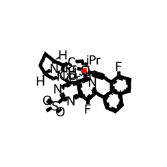 CC(C)[Si](C#Cc1c(F)ccc2cccc(-c3nc4c5c(nc(S(C)(=O)=O)nc5c3F)N3C[C@H]5CC[C@@H]([C@H]3CCO4)N5C(=O)O)c12)(C(C)C)C(C)C